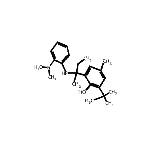 CCC(C)(Pc1ccccc1N(C)C)c1cc(C)cc(C(C)(C)C)c1O